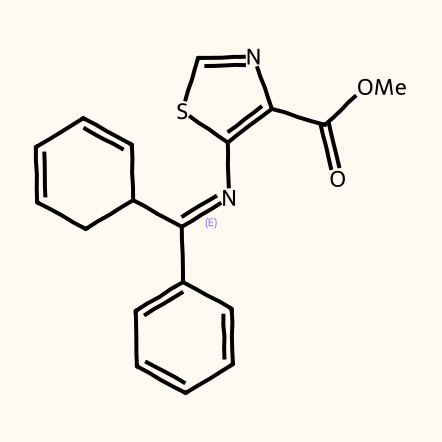 COC(=O)c1ncsc1/N=C(/c1ccccc1)C1C=CC=CC1